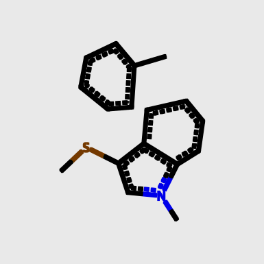 CSc1cn(C)c2ccccc12.Cc1ccccc1